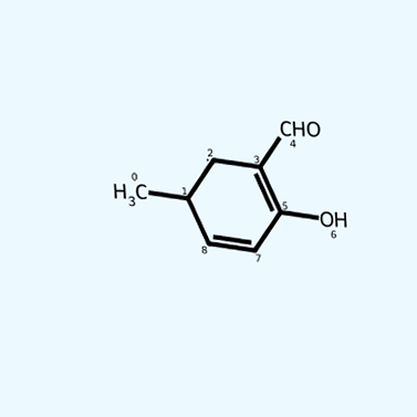 CC1[CH]C(C=O)=C(O)C=C1